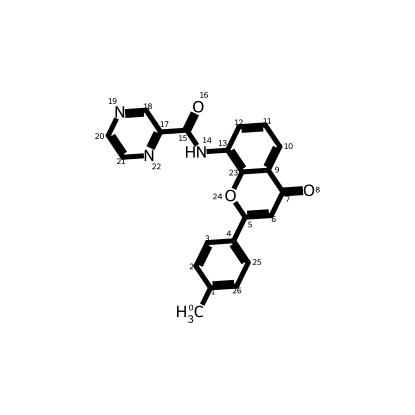 Cc1ccc(-c2cc(=O)c3cccc(NC(=O)c4cnccn4)c3o2)cc1